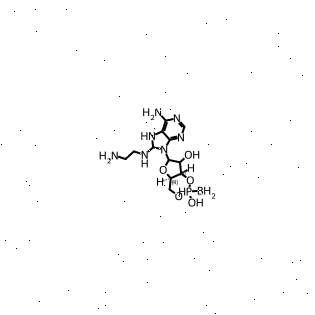 B[PH]1(O)OC[C@H]2OC(N3c4ncnc(N)c4NC3NCCN)C(O)[C@@H]2O1